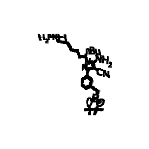 CCCCC(CCCCCNP)n1nc(-c2cccc(CB3OC(C)(C)C(C)(C)O3)c2)c(C#N)c1N